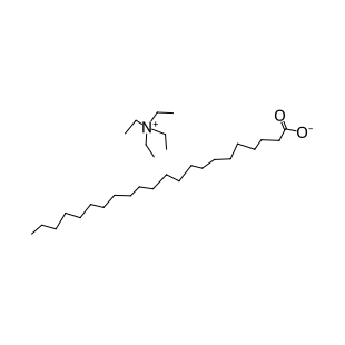 CCCCCCCCCCCCCCCCCCCCCC(=O)[O-].CC[N+](CC)(CC)CC